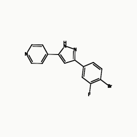 Fc1cc(-c2cc(-c3ccncc3)[nH]n2)ccc1Br